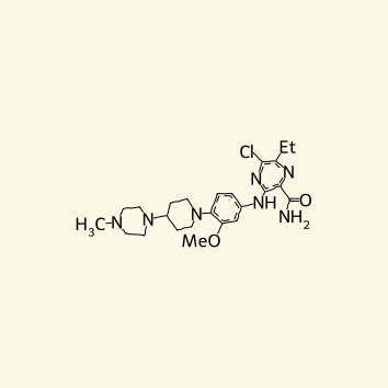 CCc1nc(C(N)=O)c(Nc2ccc(N3CCC(N4CCN(C)CC4)CC3)c(OC)c2)nc1Cl